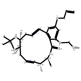 C=CCOc1cc2c(c(OCOC)c1)C(=O)O[C@@H](C)[C@H](C)/C=C\C[C@H]1OC(C)(C)O[C@H]1C/C=C/2